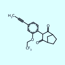 CC#Cc1ccc(C2C(=O)C3CCC(C3)C2=O)c(OCC(F)(F)F)c1